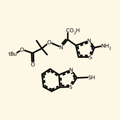 CC(C)(C)OC(=O)C(C)(C)ON=C(C(=O)O)c1csc(N)n1.Sc1nc2ccccc2s1